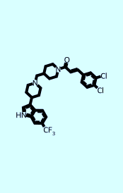 O=C(C=Cc1ccc(Cl)c(Cl)c1)N1CCC(CN2CCC(c3c[nH]c4cc(C(F)(F)F)ccc34)CC2)CC1